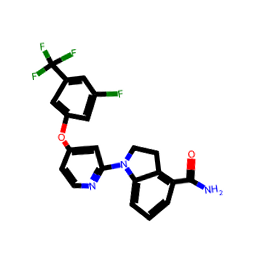 NC(=O)c1cccc2c1CCN2c1cc(Oc2cc(F)cc(C(F)(F)F)c2)ccn1